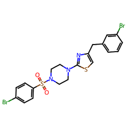 O=S(=O)(c1ccc(Br)cc1)N1CCN(c2nc(Cc3cccc(Br)c3)cs2)CC1